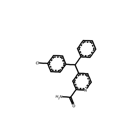 NC(=O)c1cc(C(c2ccccc2)c2ccc(Cl)cc2)ccn1